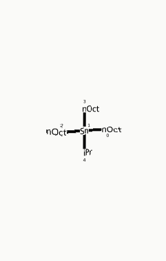 CCCCCCC[CH2][Sn]([CH2]CCCCCCC)([CH2]CCCCCCC)[CH](C)C